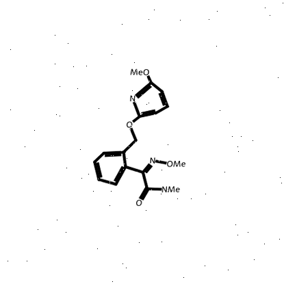 CNC(=O)C(=NOC)c1ccccc1COc1cccc(OC)n1